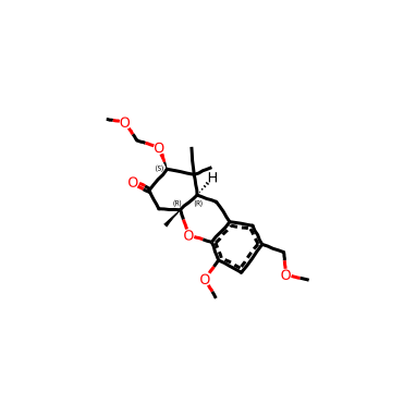 COCO[C@@H]1C(=O)C[C@@]2(C)Oc3c(cc(COC)cc3OC)C[C@@H]2C1(C)C